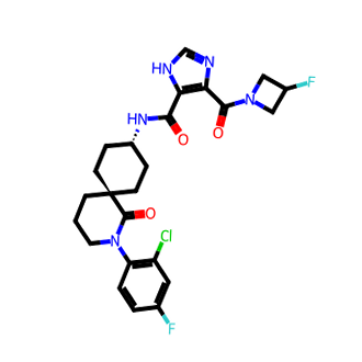 O=C(N[C@H]1CC[C@@]2(CCCN(c3ccc(F)cc3Cl)C2=O)CC1)c1[nH]cnc1C(=O)N1CC(F)C1